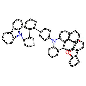 c1cc(-c2cccc3c2oc2ccccc23)cc(N(c2ccc(-c3ccccc3-c3ccccc3-n3c4ccccc4c4ccccc43)cc2)c2ccccc2-c2ccc3ccccc3c2)c1